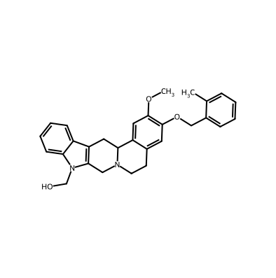 COc1cc2c(cc1OCc1ccccc1C)CCN1Cc3c(c4ccccc4n3CO)CC21